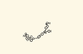 O=C1CCC(N2C(=O)c3cccc(OCCCN4CCN(c5ccc(-n6cc(-c7ccc8c(c7)CC/C8=N\O)c(-c7ccncc7)n6)cc5)CC4)c3C2=O)C(=O)N1